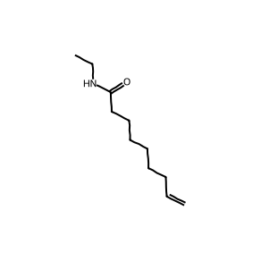 C=CCCCCCCC(=O)NCC